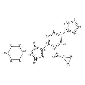 c1cnn(-c2ccc(-c3cnc(C4CCCCC4)s3)c(SC3CC3)c2)c1